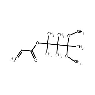 C=CC(=O)OC(C)(C)C(C)(C)C(C)(O[SiH3])O[SiH3]